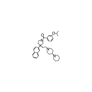 CC(C)Oc1cccc(C(=O)N2CC[C@@](CCN3CCC(N4CCCCC4)CC3)(c3ccc4ccccc4c3)C2)c1